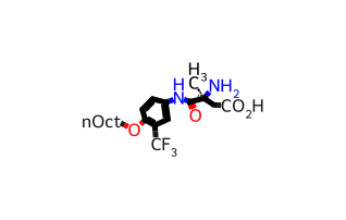 CCCCCCCCOc1ccc(NC(=O)[C@@](C)(N)CC(=O)O)cc1C(F)(F)F